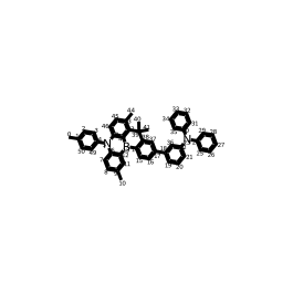 Cc1ccc(N2c3ccc(C)cc3B3c4ccc(-c5cccc(N(c6ccccc6)c6ccccc6)c5)cc4C(C)(C)c4c(C)ccc2c43)cc1